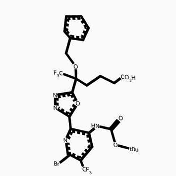 CC(C)(C)OC(=O)Nc1cc(C(F)(F)F)c(Br)nc1-c1nnc(C(CCCC(=O)O)(OCc2ccccc2)C(F)(F)F)o1